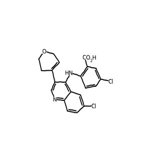 O=C(O)c1cc(Cl)ccc1Nc1c(C2=CCOCC2)cnc2ccc(Cl)cc12